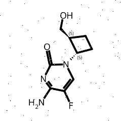 Nc1nc(=O)n([C@H]2CC[C@@H]2CO)cc1F